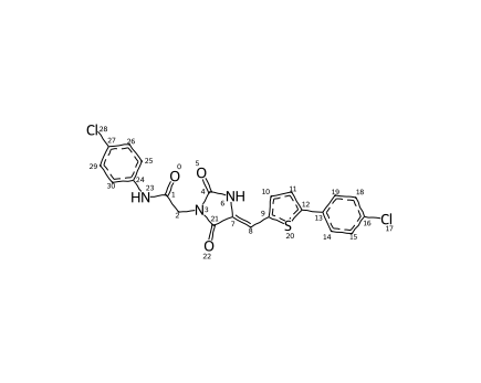 O=C(CN1C(=O)N/C(=C\c2ccc(-c3ccc(Cl)cc3)s2)C1=O)Nc1ccc(Cl)cc1